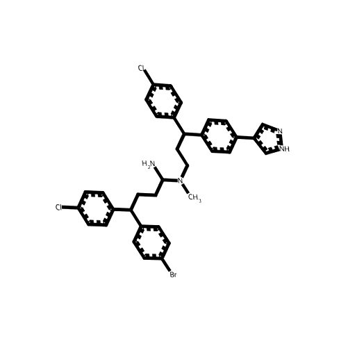 CN(CCC(c1ccc(Cl)cc1)c1ccc(-c2cn[nH]c2)cc1)C(N)CCC(c1ccc(Cl)cc1)c1ccc(Br)cc1